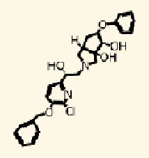 O[C@H](CN1C[C@@H]2C[C@@H](Oc3ccccc3)[C@@H](O)[C@]2(O)C1)c1ccc(OCc2ccccc2)c(Cl)n1